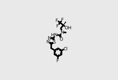 CN(C[C@@](C)(O)C(F)(F)F)C(=O)Nc1nnc(Cc2cc(F)cc(Cl)c2)s1